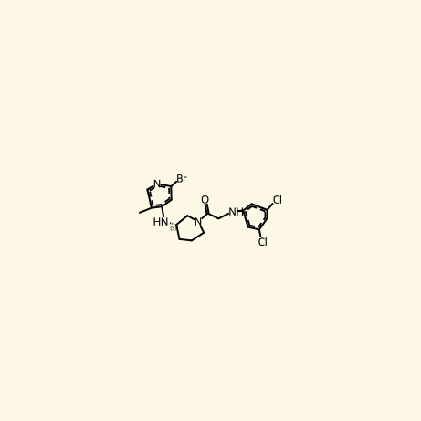 Cc1cnc(Br)cc1N[C@H]1CCCN(C(=O)CNc2cc(Cl)cc(Cl)c2)C1